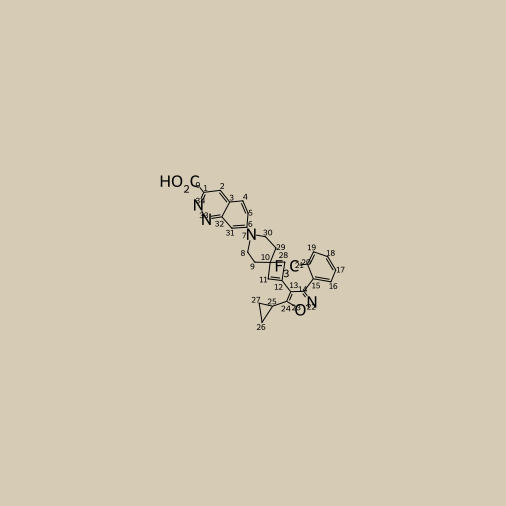 O=C(O)c1cc2ccc(N3CCC4(C=C(c5c(-c6ccccc6C(F)(F)F)noc5C5CC5)C4)CC3)cc2nn1